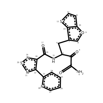 NC(=O)C(=O)C(Cc1coc2ccsc12)NC(=O)c1nsnc1-c1ccccn1